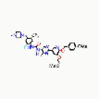 COCCOc1cc(-c2ncc(NC(=O)Nc3cc(C(F)(F)F)c(CN4CCN(C)CC4)cc3F)c(C)n2)cnc1OCc1ccc(OC)cc1